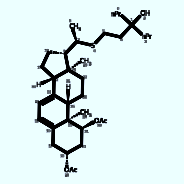 CCCC(O)(CCC)CCS[C@H](C)[C@H]1CC[C@H]2C3=CC=C4C[C@@H](OC(C)=O)C[C@H](OC(C)=O)[C@]4(C)[C@H]3CC[C@]12C